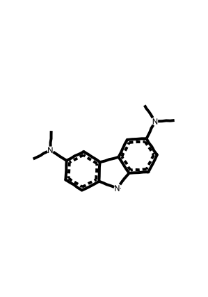 CN(C)c1ccc2c(c1)-c1cc(N(C)C)ccc1[N]2